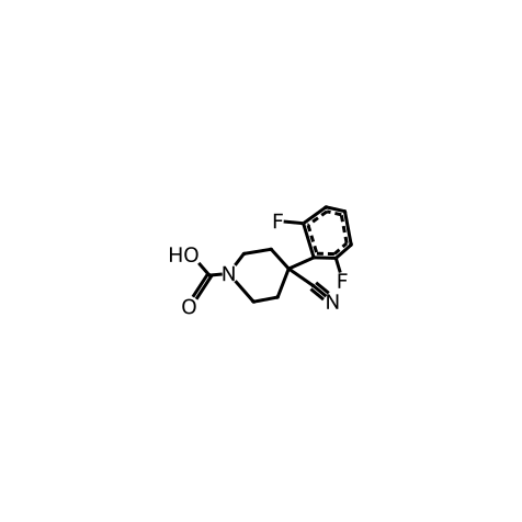 N#CC1(c2c(F)cccc2F)CCN(C(=O)O)CC1